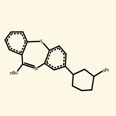 CCCCC1=Nc2cc(C3CCCC(CCC)C3)ccc2Sc2ccccc21